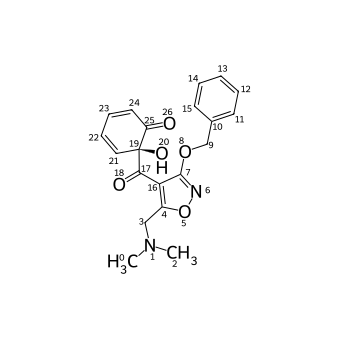 CN(C)Cc1onc(OCc2ccccc2)c1C(=O)[C@]1(O)C=CC=CC1=O